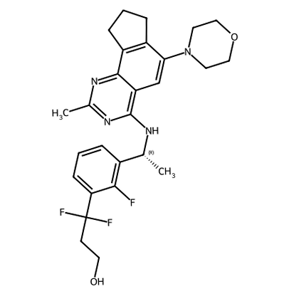 Cc1nc(N[C@H](C)c2cccc(C(F)(F)CCO)c2F)c2cc(N3CCOCC3)c3c(c2n1)CCC3